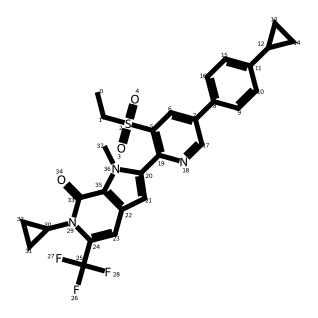 CCS(=O)(=O)c1cc(-c2ccc(C3CC3)cc2)cnc1-c1cc2cc(C(F)(F)F)n(C3CC3)c(=O)c2n1C